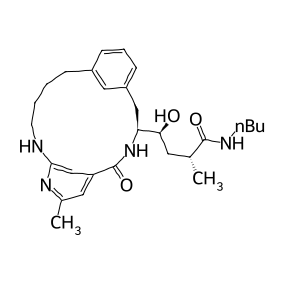 CCCCNC(=O)[C@H](C)C[C@H](O)[C@@H]1Cc2cccc(c2)CCCCNc2cc(cc(C)n2)C(=O)N1